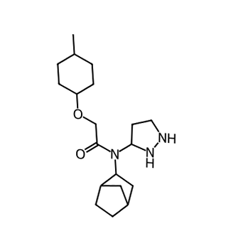 CC1CCC(OCC(=O)N(C2CCNN2)C2CC3CCC2C3)CC1